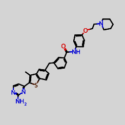 Cc1c(-c2ccnc(N)n2)sc2ccc(Cc3cccc(C(=O)Nc4ccc(OCCN5CCCCC5)cc4)c3)cc12